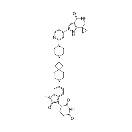 Cn1c(=O)n(C2CCC(=O)NC2=O)c2ccc(N3CCC4(CC3)CC(N3CCN(c5cc(-c6cc7c([nH]6)C6(CC6)CNC7=O)ccn5)CC3)C4)cc21